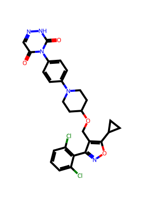 O=c1cn[nH]c(=O)n1-c1ccc(N2CCC(OCc3c(-c4c(Cl)cccc4Cl)noc3C3CC3)CC2)cc1